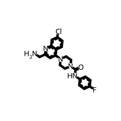 NCc1cc(N2CCN(C(=O)Nc3ccc(F)cc3)CC2)c2ccc(Cl)cc2n1